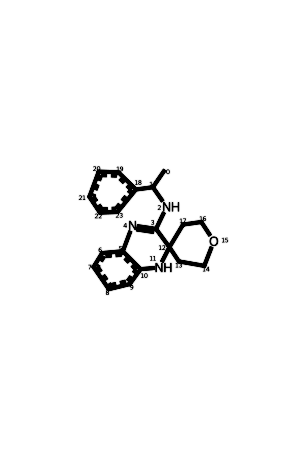 CC(NC1=Nc2ccccc2NC12CCOCC2)c1ccccc1